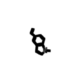 C=Cc1ccc2c(ccn2C)c1